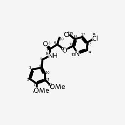 COc1ccc(CNC(=O)C(C)Oc2ncc(Cl)cc2Cl)cc1OC